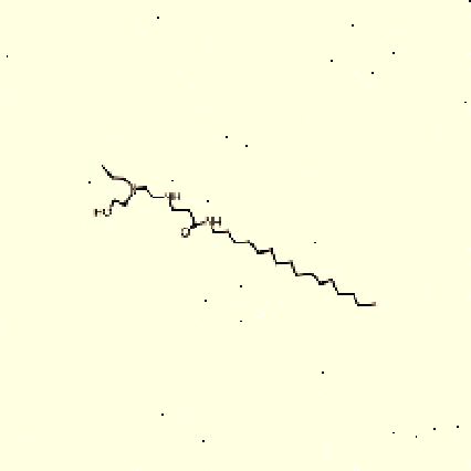 CCCCCCCCCCCCCCCCNC(=O)CCNCCN(CCC)CCO